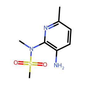 Cc1ccc(N)c(N(C)S(C)(=O)=O)n1